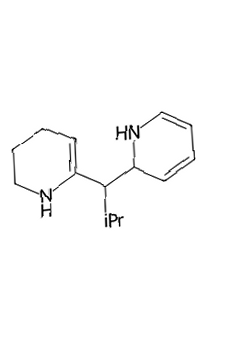 CC(C)C(C1=CCCCN1)C1C=CC=CN1